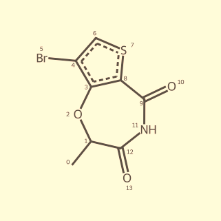 CC1Oc2c(Br)csc2C(=O)NC1=O